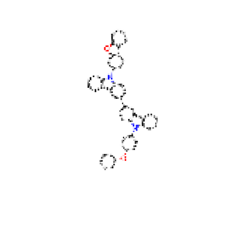 c1ccc(Oc2ccc(-n3c4ccccc4c4cc(-c5ccc6c(c5)c5ccccc5n6-c5ccc6c(c5)oc5ccccc56)ccc43)cc2)cc1